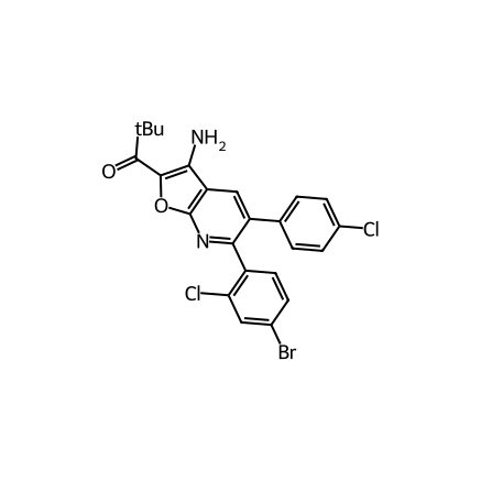 CC(C)(C)C(=O)c1oc2nc(-c3ccc(Br)cc3Cl)c(-c3ccc(Cl)cc3)cc2c1N